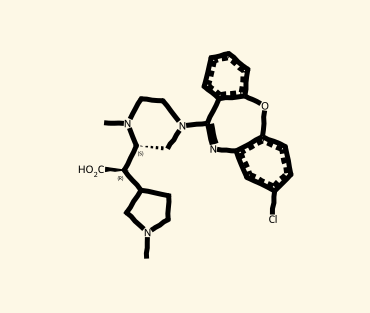 CN1CCC([C@@H](C(=O)O)[C@H]2CN(C3=Nc4cc(Cl)ccc4Oc4ccccc43)CCN2C)C1